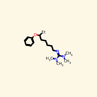 CCC(CCCCCN=C(N(C)C)N(C)C)Oc1ccccc1